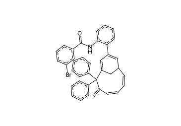 C=C1/C=C\C=C/C2C=C(c3ccccc3NC(=O)c3cccc(Br)c3)C=C(C2)C1(c1ccccc1)c1ccccc1